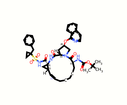 CC(C)(C)OC(=O)N[C@H]1CCCCC/C=C\[C@@H]2C[C@@]2(C(=O)NS(=O)(=O)C2(Cc3ccccc3)CC2)NC(=O)[C@@H]2C[C@@H](Oc3nccc4ccccc34)CN2C1=O